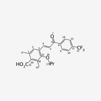 Cc1cc(/C=C/C(=O)c2ccc(C(F)(F)F)cc2)c(OC(C)C)c(C)c1C(=O)O